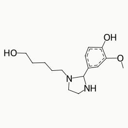 COc1cc(C2NCCN2CCCCCO)ccc1O